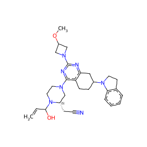 C=CC(O)N1CCN(c2nc(N3CC(OC)C3)nc3c2CCC(N2CCc4ccccc42)C3)C[C@@H]1CC#N